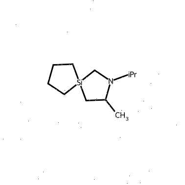 CC(C)N1C[Si]2(CCCC2)CC1C